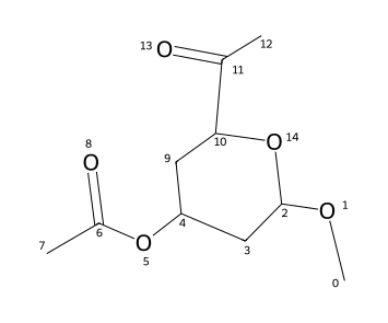 COC1CC(OC(C)=O)CC(C(C)=O)O1